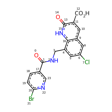 O=C(NCc1cc(Cl)cc2cc(C(=O)O)c(=O)[nH]c12)c1ccc(Br)nc1